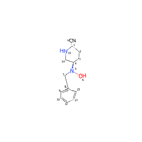 N#C[C@@H]1CC[C@@H](N(O)Cc2ccccc2)CN1